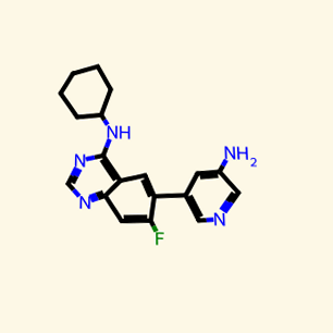 Nc1cncc(-c2cc3c(NC4CCCCC4)ncnc3cc2F)c1